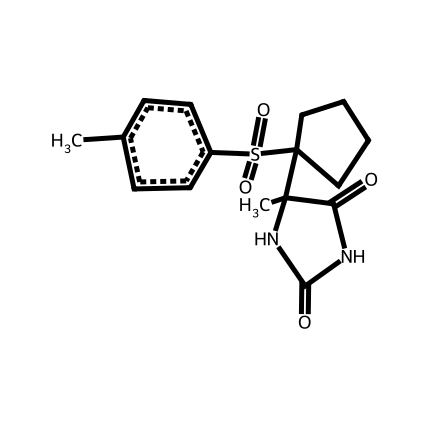 Cc1ccc(S(=O)(=O)C2(C3(C)NC(=O)NC3=O)CCCC2)cc1